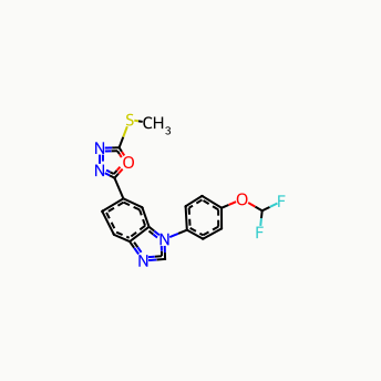 CSc1nnc(-c2ccc3ncn(-c4ccc(OC(F)F)cc4)c3c2)o1